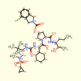 CCC[C@H](NC(=O)[C@@H]1C[C@@H](OC(=O)N2Cc3cccc(F)c3C2)CN1C(=O)[C@@H](NC(=O)N[C@H](CN(C)S(=O)(=O)C1CC1)C(C)(C)C)C1CCCCC1)B(C)O